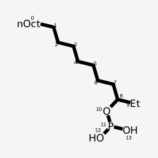 CCCCCCCCCCCCCCCC(CC)OP(O)O